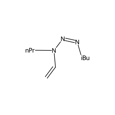 C=CN(CCC)/N=N\C(C)CC